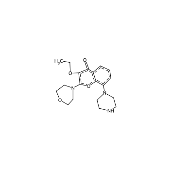 CCOc1c(N2CCOCC2)oc2c(N3CCNCC3)cccc2c1=O